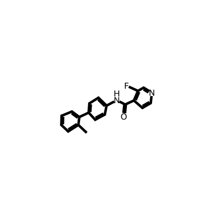 Cc1ccccc1-c1ccc(NC(=O)c2ccncc2F)cc1